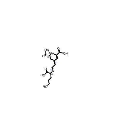 O=C(O)C1=C/C(=C/C=N/[C@@H](CCCO)C(=O)O)C[C@H](C(=O)O)N1